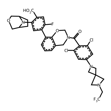 O=C(O)c1cc(F)c(-c2cccc3c2OCN(C(=O)c2c(Cl)cc(N4CC5(CN(CC(F)(F)F)C5)C4)cc2Cl)C3)cc1N1C2CCC1COC2